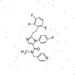 CN(Cc1ccncc1)C(=O)c1cnc(CCc2c(F)ccc(F)c2F)n1-c1ccc(F)cc1